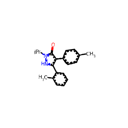 Cc1ccc(-c2c(-c3ccccc3C)[nH]n(C(C)C)c2=O)cc1